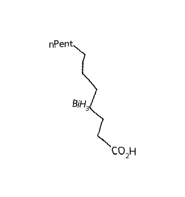 CCCCCCCCCCCC(=O)O.[BiH3]